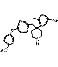 COc1ccc(Sc2ccc(CC3(c4cc(N)ccc4C)CCNCC3)cc2)cc1